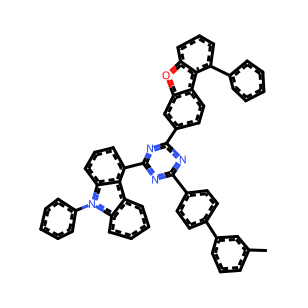 Cc1cccc(-c2ccc(-c3nc(-c4ccc5c(c4)oc4cccc(-c6ccccc6)c45)nc(-c4cccc5c4c4ccccc4n5-c4ccccc4)n3)cc2)c1